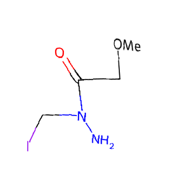 COCC(=O)N(N)CI